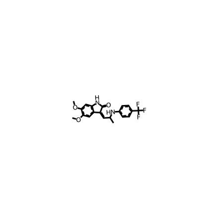 COc1cc2c(cc1OC)C(=CC(C)Nc1ccc(C(F)(F)F)cc1)C(=O)N2